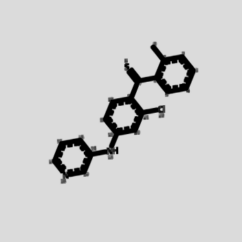 Cc1ccccc1C(=S)c1ccc(Nc2cccnc2)cc1Cl